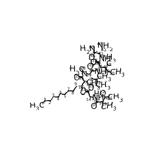 CCCCCCCCCC[C@@H](OC(=O)CNC(=O)[C@@H](C)[C@H](C)O)[C@@H](C)C(=O)N(C)[C@@H](CC(C)C)C(=O)N[C@H](C(=O)N[C@@H](CN)C(N)=O)[C@@H](C)CC